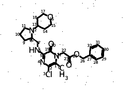 Cc1c(Cl)nc(NC[C@H]2CCCN2C2CCOCC2)c(=O)n1CC(=O)OCc1ccccc1